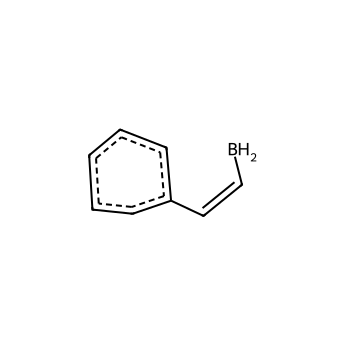 B/C=C\c1ccccc1